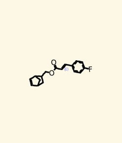 O=C(/C=C/c1ccc(F)cc1)OCC1CC2C=CC1C2